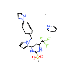 CS(=O)(=O)c1nc(-c2cccn2Cc2ccc(-n3cccn3)cc2)cc(C(F)(F)F)n1.c1ccncc1